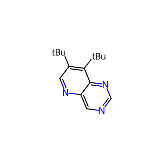 CC(C)(C)c1cnc2cncnc2c1C(C)(C)C